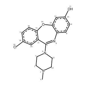 CN1CCN(C2=Nc3ccc(O)cc3Oc3ccc(Cl)cc32)CC1